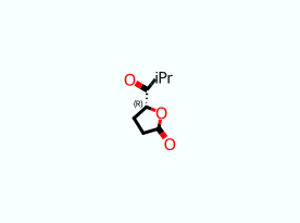 CC(C)C(=O)[C@H]1CCC(=O)O1